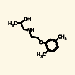 Cc1ccc(C)c(OCCNCC(C)O)c1